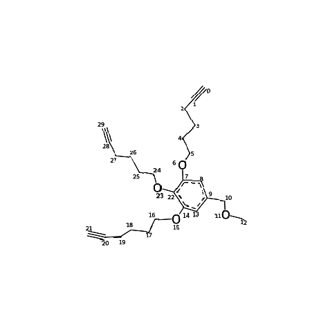 C#CCCCCOc1cc(COC)cc(OCCCCC#C)c1OCCCCC#C